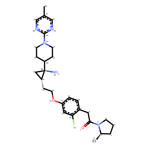 CC[C@@H]1CCCN1C(=O)Cc1ccc(OCC[C@@H]2C[C@]2(N)C2CCN(c3ncc(C)cn3)CC2)cc1F